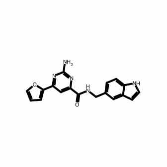 Nc1nc(C(=O)NCc2ccc3[nH]ccc3c2)cc(-c2ccco2)n1